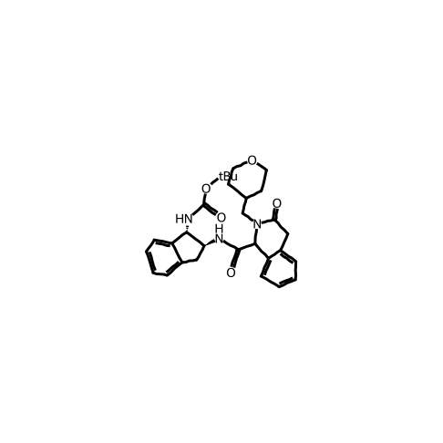 CC(C)(C)OC(=O)N[C@H]1c2ccccc2C[C@@H]1NC(=O)C1c2ccccc2CC(=O)N1CC1CCOCC1